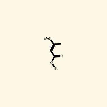 CCOC(=O)/C=C(\C)SC